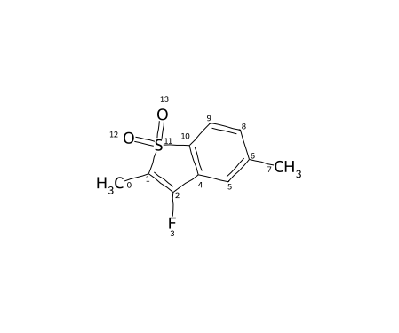 CC1=C(F)c2cc(C)ccc2S1(=O)=O